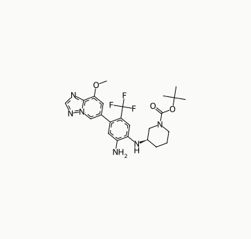 COc1cc(-c2cc(N)c(N[C@@H]3CCCN(C(=O)OC(C)(C)C)C3)cc2C(F)(F)F)cn2ncnc12